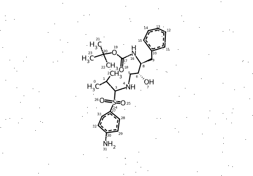 CC(C)C(NC[C@@H](O)[C@H](Cc1ccccc1)NC(=O)OC(C)(C)C)S(=O)(=O)c1ccc(N)cc1